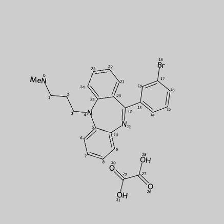 CNCCCN1c2ccccc2N=C(c2cccc(Br)c2)c2ccccc21.O=C(O)C(=O)O